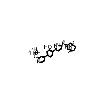 [2H]C([2H])([2H])Oc1cc(-c2ccc(-c3ccc(N(C)C4C[C@]5(C)CC[C@](C)(C4)N5)nn3)c(O)c2)ccn1